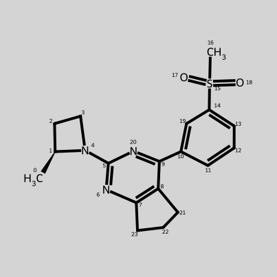 C[C@H]1CCN1c1nc2c(c(-c3cccc(S(C)(=O)=O)c3)n1)CCC2